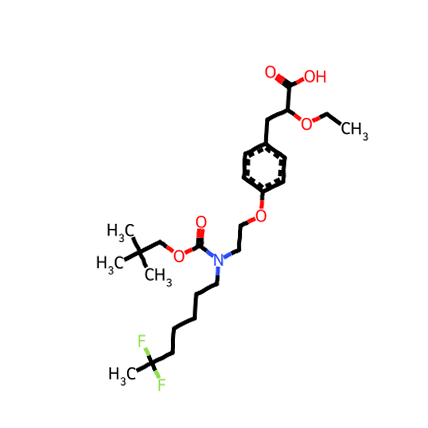 CCOC(Cc1ccc(OCCN(CCCCCC(C)(F)F)C(=O)OCC(C)(C)C)cc1)C(=O)O